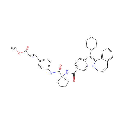 COC(=O)/C=C/c1ccc(NC(=O)C2(NC(=O)c3ccc4c(C5CCCCC5)c5n(c4c3)CC=Cc3ccccc3-5)CCCC2)cc1